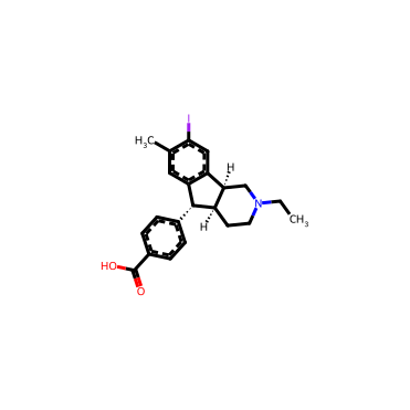 CCN1CC[C@H]2[C@H](c3ccc(C(=O)O)cc3)c3cc(C)c(I)cc3[C@H]2C1